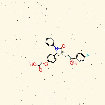 O=C(O)COc1ccc([C@@H]2[C@@H](CC[C@H](O)c3ccc(F)cc3)C(=O)N2c2ccccc2)cc1